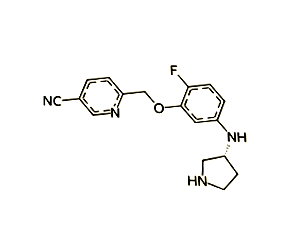 N#Cc1ccc(COc2cc(N[C@@H]3CCNC3)ccc2F)nc1